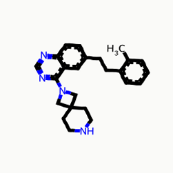 Cc1ccccc1CCc1ccc2ncnc(N3CC4(CCNCC4)C3)c2c1